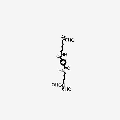 CC(=O)N(C=O)CCCCCNC(=O)c1ccc(C(=O)NCCCCCN(C=O)C=O)cc1